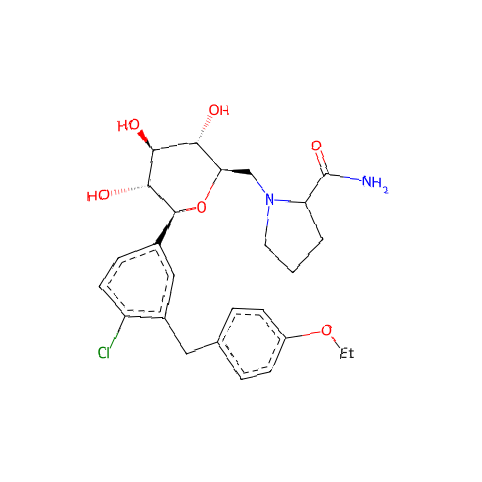 CCOc1ccc(Cc2cc([C@@H]3O[C@H](CN4CCCC4C(N)=O)[C@@H](O)[C@H](O)[C@H]3O)ccc2Cl)cc1